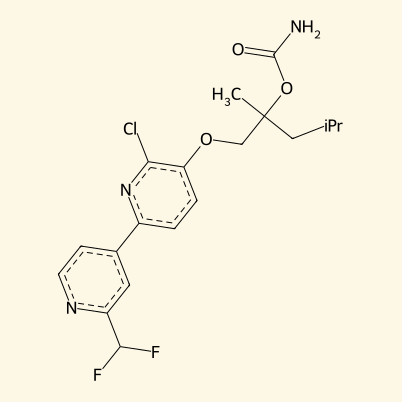 CC(C)CC(C)(COc1ccc(-c2ccnc(C(F)F)c2)nc1Cl)OC(N)=O